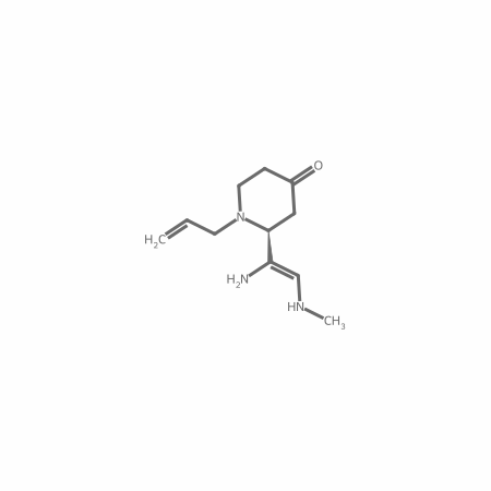 C=CCN1CCC(=O)C[C@H]1/C(N)=C/NC